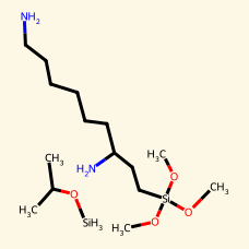 CC(C)O[SiH3].CO[Si](CCC(N)CCCCCCN)(OC)OC